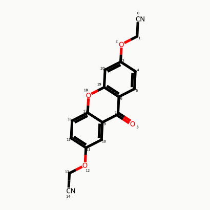 N#CCOc1ccc2c(=O)c3cc(OCC#N)ccc3oc2c1